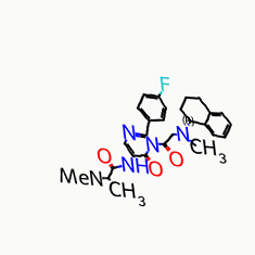 CNC(C)C(=O)Nc1cnc(-c2ccc(F)cc2)n(C(=O)CN(C)[C@@H]2CCCc3ccccc32)c1=O